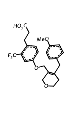 COc1ccc(CC2=C(COc3ccc(CCC(=O)O)c(C(F)(F)F)c3)COCC2)cc1